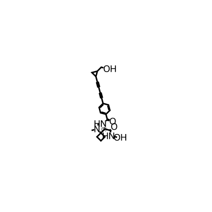 CN(C)C1([C@H](NC(=O)c2ccc(C#CC#CC3CC3CO)cc2)C(=O)NO)CCC1